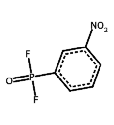 O=[N+]([O-])c1cccc(P(=O)(F)F)c1